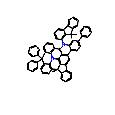 CC1(C)c2ccccc2-c2cccc(N3B4c5cccc6c5N5c7c(cccc7C6(c6ccccc6)c6ccccc6)C6(C)c7ccccc7-c7cc(c4c5c76)-c4ccc(-c5ccccc5)cc43)c21